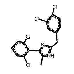 Cc1[nH]c(Cc2ccc(Cl)c(Cl)c2)nc1-c1c(Cl)cccc1Cl